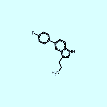 NCCc1c[nH]c2ccc(-c3ccc(F)cc3)cc12